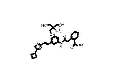 NC(CO)(CO)CO.O=C(Cc1ccccc1C(=O)O)Nc1cccc(/C=C/c2nc(C3CCC3)cs2)c1